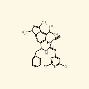 Cc1nn(C)c2nc(N(Cc3ccccc3)N/C(=N\c3cc(Cl)nc(Cl)c3)NC#N)cc(C(C)C)c12